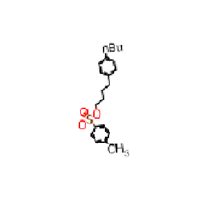 CCCCc1ccc(CCCCOS(=O)(=O)c2ccc(C)cc2)cc1